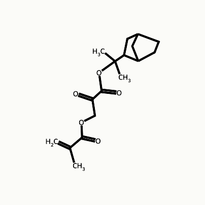 C=C(C)C(=O)OCC(=O)C(=O)OC(C)(C)C1CC2CCC1C2